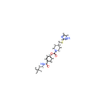 CC(C)(C)CCNC(=O)c1ccc(OC(=O)N2CCC(CSc3ncc[nH]3)CC2)cc1